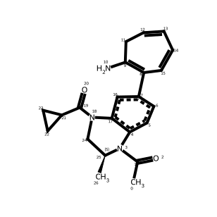 CC(=O)N1c2ccc(C3=C(N)CC=CC=C3)cc2N(C(=O)C2CC2)C[C@@H]1C